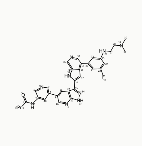 CCCC(=O)Nc1cncc(-c2cnc3[nH]nc(-c4cc5c(-c6cc(F)cc(NCCN(C)C)c6)cccc5[nH]4)c3c2)c1